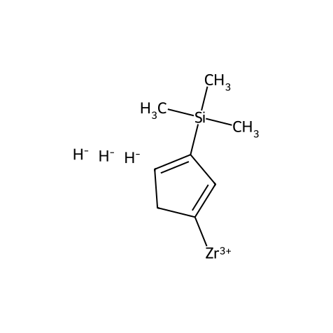 C[Si](C)(C)C1=CC[C]([Zr+3])=C1.[H-].[H-].[H-]